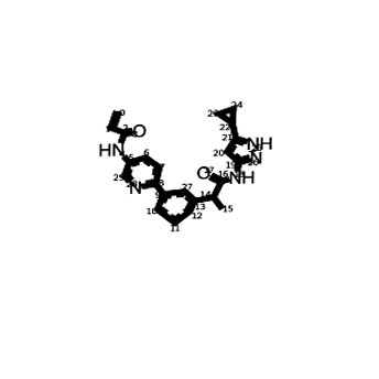 C=CC(=O)Nc1ccc(-c2cccc(C(C)C(=O)Nc3cc(C4CC4)[nH]n3)c2)nc1